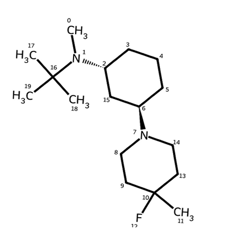 CN([C@@H]1CCC[C@@H](N2CCC(C)(F)CC2)C1)C(C)(C)C